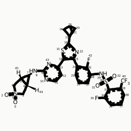 O=S1(=O)C[C@@H]2[C@H](C1)[C@H]2Nc1nccc(-c2sc(C34CC(C3)C4)nc2-c2cccc(NS(=O)(=O)c3c(F)cccc3C(F)(F)F)c2F)n1